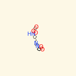 O=C(N[C@H]1CC[C@H](CCN2CCN(c3cccc4c3OCO4)CC2)CC1)OC1CCOCC1